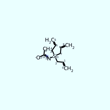 C=CC[Si](CC=C)(CC=C)/N=C(\C)[O]